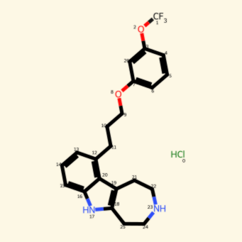 Cl.FC(F)(F)Oc1cccc(OCCCc2cccc3[nH]c4c(c23)CCNCC4)c1